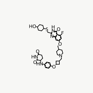 O=C1CCC(Nc2ccc(OC3CC(CN4CCC(COc5cc(F)c6c(=O)[nH]c(CSC7CCC(O)CC7)nc6c5)CC4)C3)cc2)C(=O)N1